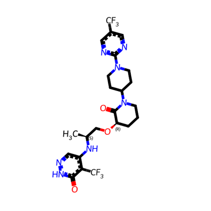 C[C@@H](CO[C@@H]1CCCN(C2CCN(c3ncc(C(F)(F)F)cn3)CC2)C1=O)Nc1cn[nH]c(=O)c1C(F)(F)F